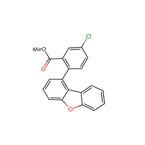 COC(=O)c1cc(Cl)ccc1-c1cccc2oc3ccccc3c12